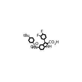 CC(C)(C)c1ccc(S(=O)(=O)Nc2ccc3[nH]c(C(=O)O)c(-c4ccc(F)c(F)c4)c3c2)cc1